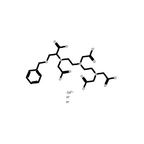 O=C([O-])CN(CCN(CC(=O)[O-])CC(=O)[O-])CCN(CC(=O)[O-])C(COCc1ccccc1)C(=O)[O-].[Gd+3].[H+].[H+]